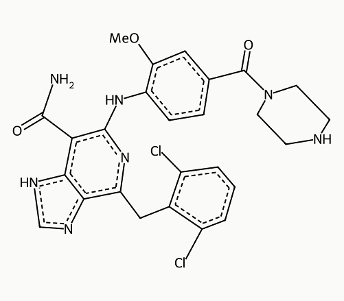 COc1cc(C(=O)N2CCNCC2)ccc1Nc1nc(Cc2c(Cl)cccc2Cl)c2nc[nH]c2c1C(N)=O